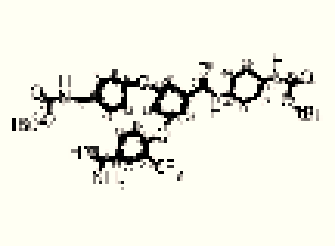 CC(C)(C)OC(=O)NCc1ccc(Oc2cc(Oc3ccc(C(=N)N)cc3C(F)(F)F)cc(C(=O)NC3CCC(NC(=O)OC(C)(C)C)CC3)c2)cc1